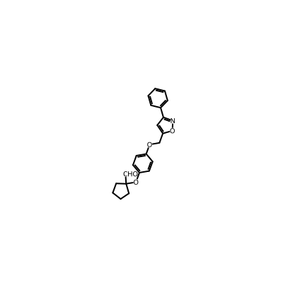 O=CC1(Oc2ccc(OCc3cc(-c4ccccc4)no3)cc2)CCCC1